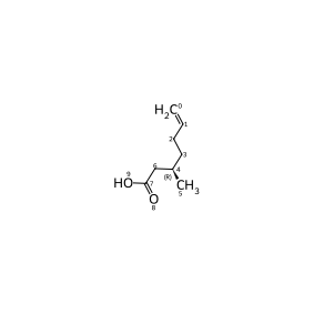 C=CCC[C@@H](C)CC(=O)O